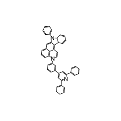 C1=CC2c3c(cc4cccc5c4c3C=CN5c3cccc(-c4cc(C5=CCCC=C5)nc(-c5ccccc5)c4)c3)N(c3ccccc3)C2C=C1